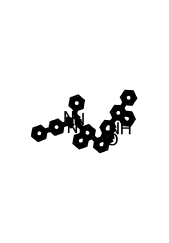 C1=CC(c2ccc(-c3ccccc3)c3ccccc23)Nc2oc3cccc(-c4ccc(-c5nc(-c6ccccc6)nc(-c6ccc(-c7ccccc7)cc6)n5)c5ccccc45)c3c21